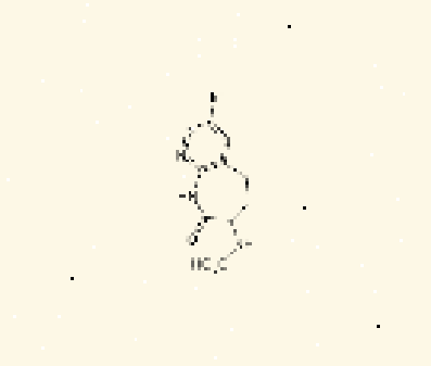 O=C(O)NC1CCc2cc(Br)cnc2NC1=O